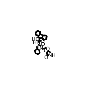 O=C[C@@H](C[C@@H]1CCNC1=O)NC(=O)[C@@H](CC1CCCCC1)NC(=O)C1(O)c2ccccc2-c2ccccc21